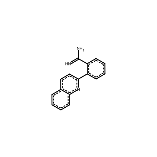 N=C(N)c1ccccc1-c1ccc2ccccc2n1